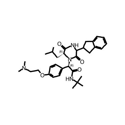 CC(C)C[C@@H]1C(=O)NC(C2Cc3ccccc3C2)C(=O)N1[C@@H](C(=O)NC(C)(C)C)c1ccc(OCCN(C)C)cc1